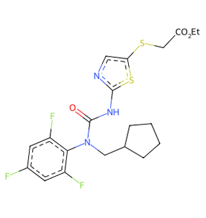 CCOC(=O)CSc1cnc(NC(=O)N(CC2CCCC2)c2c(F)cc(F)cc2F)s1